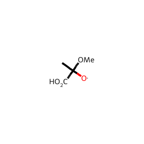 COC(C)([O])C(=O)O